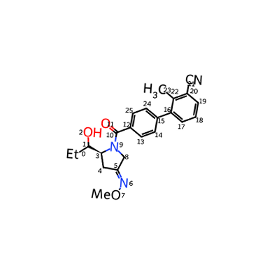 CCC(O)[C@@H]1C/C(=N\OC)CN1C(=O)c1ccc(-c2cccc(C#N)c2C)cc1